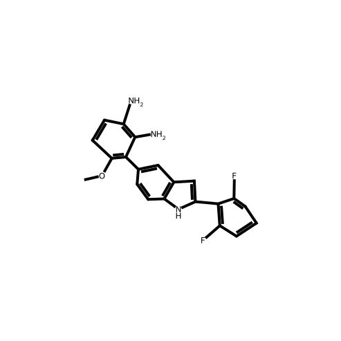 COc1ccc(N)c(N)c1-c1ccc2[nH]c(-c3c(F)cccc3F)cc2c1